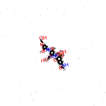 COc1cc(OCCO)ccc1/N=N/c1cc(OCCO)c(N/N=C2\C(=O)c3ccc(NC(C)=O)cc3C=C2S(=O)(=O)O)cc1OC